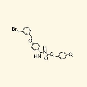 COc1ccc(COC(=O)NC(=N)c2ccc(OCc3cccc(CBr)c3)cc2)cc1